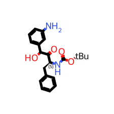 CC(C)(C)OC(=O)N[C@@H](Cc1ccccc1)C(=O)C(O)c1cccc(N)c1